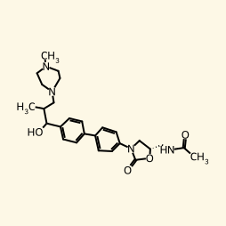 CC(=O)NC[C@H]1CN(c2ccc(-c3ccc(C(O)C(C)CN4CCN(C)CC4)cc3)cc2)C(=O)O1